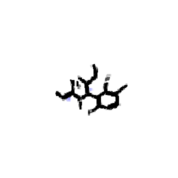 C/C=C(\N)N(C)/C(=C(\C)CC)c1c(F)ccc(C)c1F